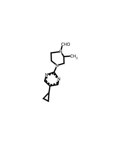 CC1CN(c2ncc(C3CC3)cn2)CCN1C=O